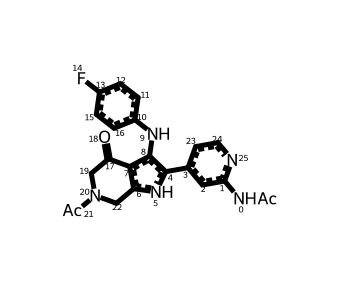 CC(=O)Nc1cc(-c2[nH]c3c(c2Nc2ccc(F)cc2)C(=O)CN(C(C)=O)C3)ccn1